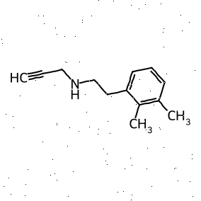 C#CCNCCc1cccc(C)c1C